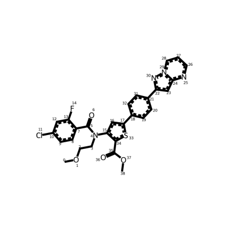 COCCN(C(=O)c1ccc(Cl)cc1F)c1cc(-c2ccc(-c3cc4ncccn4n3)cc2)sc1C(=O)OC